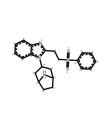 O=S(=O)(CCc1nc2ccccc2n1C1CC2CCC(C1)N2)c1ccccc1